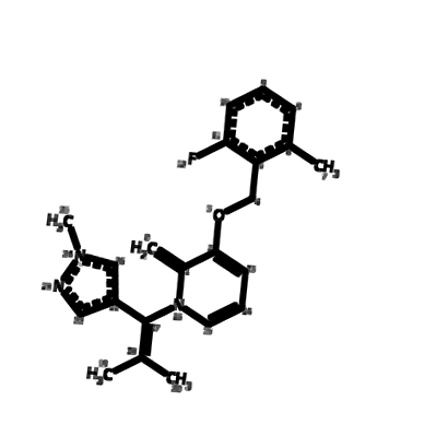 C=C1C(OCc2c(C)cccc2F)=CC=CN1C(=C(C)C)c1cnn(C)c1